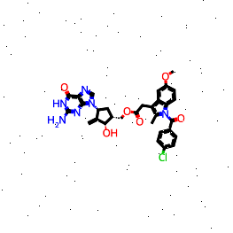 C=C1[C@@H](O)[C@@H](COC(=O)Cc2c(C)n(C(=O)c3ccc(Cl)cc3)c3ccc(OC)cc23)C[C@@H]1n1cnc2c(=O)[nH]c(N)nc21